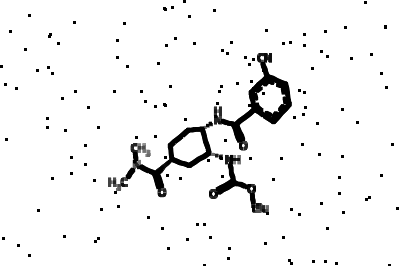 CN(C)C(=O)[C@H]1CC[C@H](NC(=O)c2cccc(C#N)c2)[C@H](NC(=O)OC(C)(C)C)C1